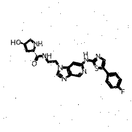 O=C(NCCn1cnc2cnc(Nc3ncc(-c4ccc(F)cc4)s3)cc21)[C@@H]1C[C@@H](O)CN1